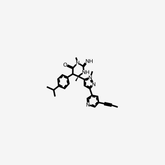 CC#Cc1cncc(-c2cc([C@@]3(C)NC(=N)N(C)C(=O)C3c3ccc(C(C)C)cc3)n(C)n2)c1